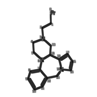 CC(C)CCN1CCN2c3ccccc3Cn3cccc3C2C1